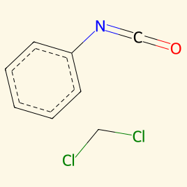 ClCCl.O=C=Nc1ccccc1